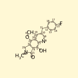 COc1c2c(c(O)c3ncc(Cc4ccc(F)cc4)cc13)C(=O)N(C)C2